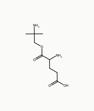 CC(C)(N)COC(=O)C(N)CCC(=O)O